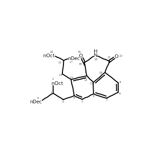 CCCCCCCCCCC(CCCCCCCC)Cc1cc2cccc3c2c(c1CC(CCCCCCCC)CCCCCCCCCC)C(=O)NC3=O